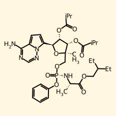 CCC(CC)COC(=O)[C@H](C)N[P@](=O)(OC[C@@]1(C)O[C@@H](c2ccc3c(N)ncnn23)[C@H](OC(=O)C(C)C)[C@@H]1OC(=O)C(C)C)Oc1ccccc1